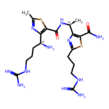 Cc1nc([C@@H](N)CCCNC(=N)N)c(C(=O)N[C@@H](C)c2nc(CCCNC(=N)N)sc2C(N)=O)s1